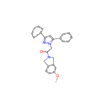 COc1ccc2c(c1)CN(C(=O)Cn1nc(-c3ccccc3)cc1-c1ccccc1)C2